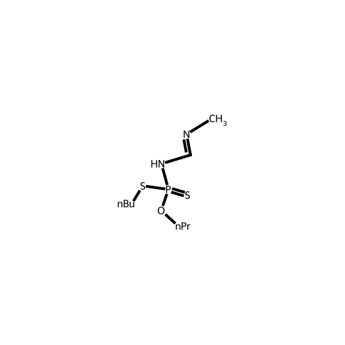 CCCCSP(=S)(NC=NC)OCCC